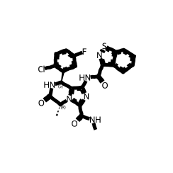 CNC(=O)c1nc(NC(=O)c2nsc3ccccc23)c2n1[C@H](C)C(=O)N[C@H]2c1cc(F)ccc1Cl